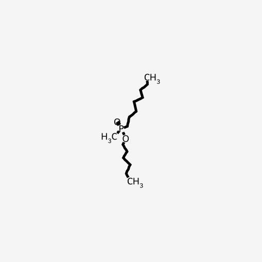 CCCCCCCCP(C)(=O)OCCCCCC